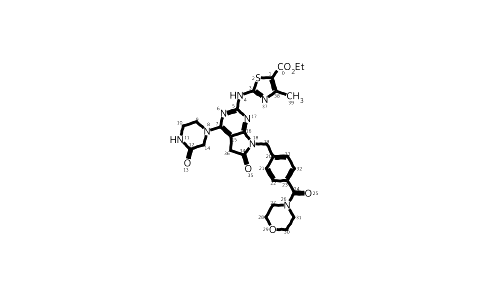 CCOC(=O)c1sc(Nc2nc(N3CCNC(=O)C3)c3c(n2)N(Cc2ccc(C(=O)N4CCOCC4)cc2)C(=O)C3)nc1C